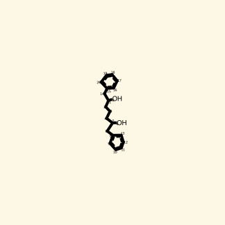 OC(CCCC(O)Cc1ccccc1)Cc1ccccc1